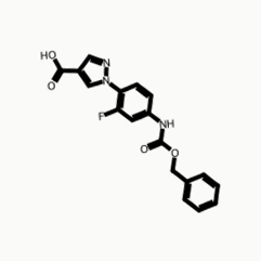 O=C(Nc1ccc(-n2cc(C(=O)O)cn2)c(F)c1)OCc1ccccc1